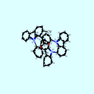 N#Cc1ccc2c3ccccc3n(-c3ccccc3-c3cc(-n4c5ccccc5c5cccc(-n6c7ccccc7c7ccccc76)c54)ccc3C#N)c2c1